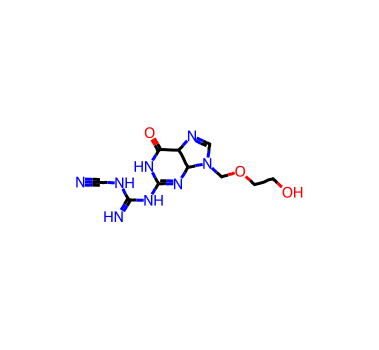 N#CNC(=N)NC1=NC2C(N=CN2COCCO)C(=O)N1